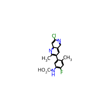 Cc1cc(F)c(NC(=O)O)cc1-c1cc2cnc(Cl)cc2nc1C